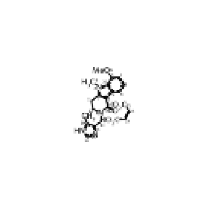 COc1cccc2c3c(n(C)c12)CCN(Cc1nc[nH]c1C)C3=O.O=C(O)/C=C\C(=O)O